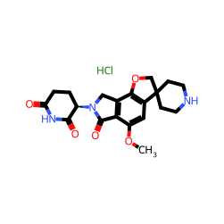 COc1cc2c(c3c1C(=O)N([C@@H]1CCC(=O)NC1=O)C3)OCC21CCNCC1.Cl